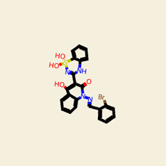 O=c1c(C2=NS(O)(O)c3ccccc3N2)c(O)c2ccccc2n1N=Cc1ccccc1Br